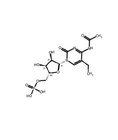 CCc1cn([C@@H]2O[C@H](COP(=O)(O)O)[C@@H](O)[C@H]2O)c(=O)nc1NC(C)=O